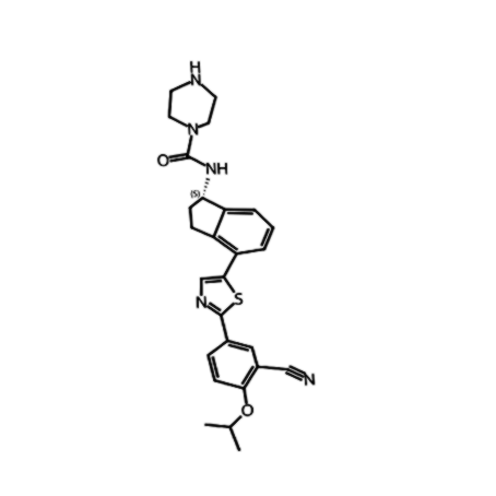 CC(C)Oc1ccc(-c2ncc(-c3cccc4c3CC[C@@H]4NC(=O)N3CCNCC3)s2)cc1C#N